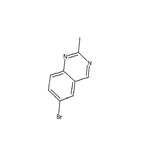 Cc1n[c]c2cc(Br)ccc2n1